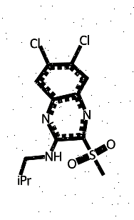 CC(C)CNc1nc2cc(Cl)c(Cl)cc2nc1S(C)(=O)=O